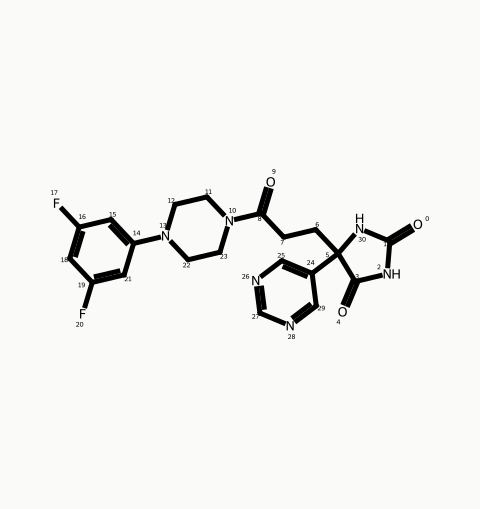 O=C1NC(=O)C(CCC(=O)N2CCN(c3cc(F)cc(F)c3)CC2)(c2cncnc2)N1